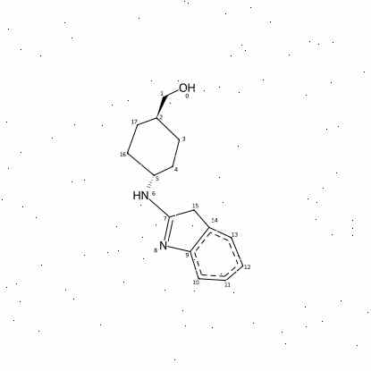 OC[C@H]1CC[C@H](NC2=Nc3ccccc3C2)CC1